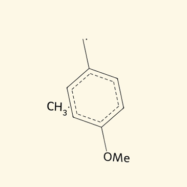 [CH2]c1ccc(OC)cc1.[CH3]